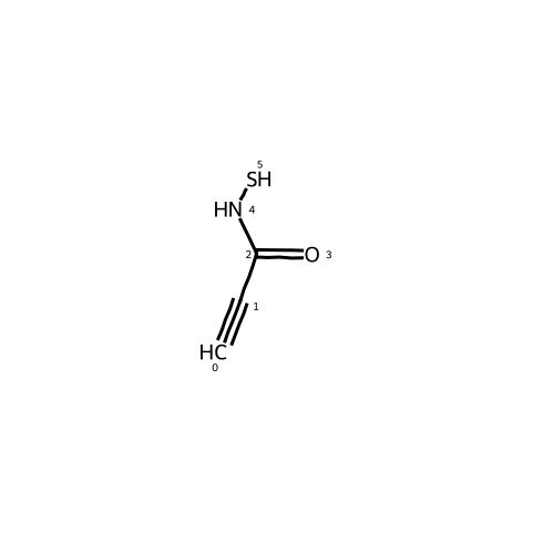 C#CC(=O)NS